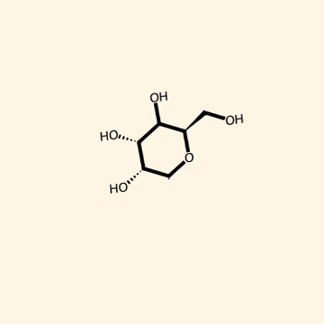 OC[C@H]1O[CH][C@H](O)[C@H](O)C1O